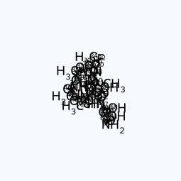 CC[C@@]1(O)C(=O)OCc2c1cc1n(c2=O)Cc2c-1nc1cc(F)c(C)c3c1c2[C@@H](NC(=O)C(C)(C)COCNC(=O)[C@H](C)NC(=O)[C@@H](NC(=O)[C@@H](N)CCC(=O)NC[C@@H]1O[C@H](CC(N)=O)[C@@H](O)[C@H]1O)C(C)C)CC3